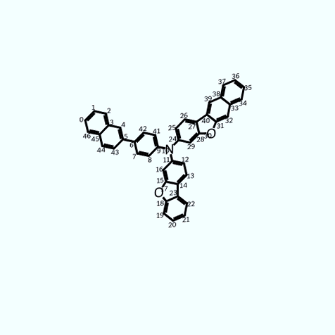 c1ccc2cc(-c3ccc(N(c4ccc5c(c4)oc4ccccc45)c4ccc5c(c4)oc4cc6ccccc6cc45)cc3)ccc2c1